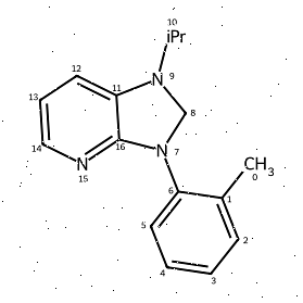 Cc1ccccc1N1CN(C(C)C)c2cccnc21